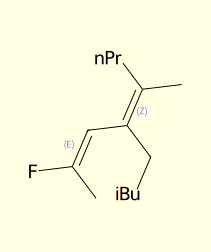 CCC/C(C)=C(\C=C(/C)F)CC(C)CC